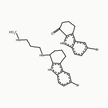 O=C(O)NCCCNC1CCCc2c1[nH]c1ccc(Br)cc21.O=C1CCCc2c1[nH]c1ccc(Br)cc21